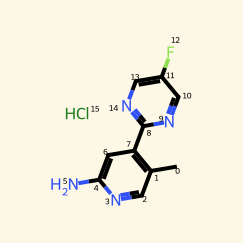 Cc1cnc(N)cc1-c1ncc(F)cn1.Cl